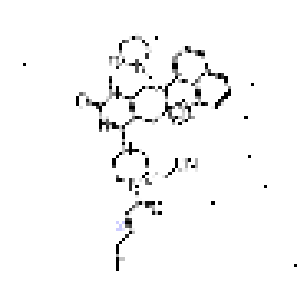 CN1CCC[C@H]1Cn1c2c(c(N3CCN(C(=O)/C=C/CF)[C@@H](CC#N)C3)nc1=O)CC1(CCC1)N(c1cccc3cccc(Cl)c13)C2